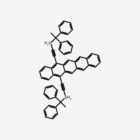 CC([SiH2]C#Cc1c2ccccc2c(C#C[SiH2]C(C)(c2ccccc2)c2ccccc2)c2cc3cc4ccccc4cc3cc12)(c1ccccc1)c1ccccc1